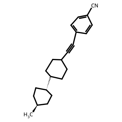 C[C@H]1CC[C@H](C2CCC(C#Cc3ccc(C#N)cc3)CC2)CC1